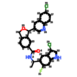 CC(NC(=O)c1ccc2c(c1)C(c1cnc3ccc(Cl)cc3c1)OC2)c1cc2c(Cl)c[nH]c2cc1F